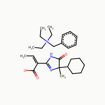 C/C=C(\C(=O)[O-])C1=NC(C)(C2CCCCC2)C(=O)N1.CC[N+](CC)(CC)Cc1ccccc1